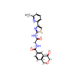 Cc1cccc(-c2csc(NC(=O)CNC(=O)c3ccc4c(c3)C(=O)COC4)n2)n1